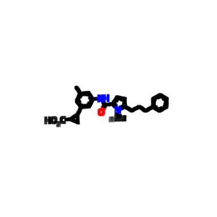 CC[C@H](C)n1c(CCCc2ccccc2)ccc1C(=O)Nc1cc(C)cc(C2CC2C(=O)O)c1